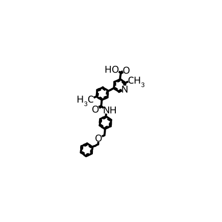 Cc1ccc(-c2cnc(C)c(C(=O)O)c2)cc1C(=O)Nc1ccc(COCc2ccccc2)cc1